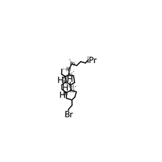 CC(C)CCC[C@@H](C)[C@H]1CC[C@H]2[C@@H]3CC[C@H]4CC(CCBr)CC[C@]4(C)[C@H]3CC[C@]12C